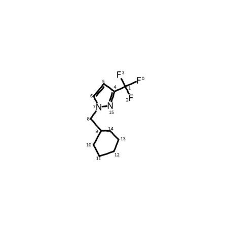 FC(F)(F)c1ccn(CC2CCCCC2)n1